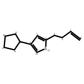 C=CCCc1cc(C2CCCC2)cs1